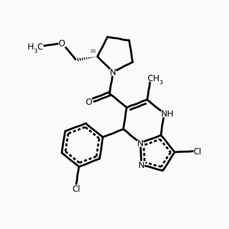 COC[C@@H]1CCCN1C(=O)C1=C(C)Nc2c(Cl)cnn2C1c1cccc(Cl)c1